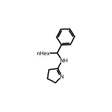 CCCCCCC(NC1=NCCC1)c1ccccc1